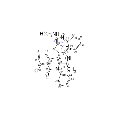 CNC1=C(\C)CC/C(N[C@@H](C)c2cc3cccc(Cl)c3c(=O)n2-c2ccccc2)=c2/cccc/c2=N/1